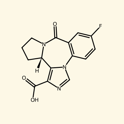 O=C(O)c1ncn2c1[C@@H]1CCCN1C(=O)c1cc(F)ccc1-2